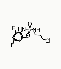 O=S(=O)(NCCCCl)Nc1c(F)cc(F)cc1F